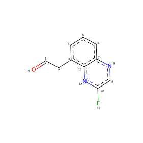 O=CCc1cccc2ncc(F)nc12